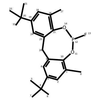 Cc1cc(C(C)(C)C)cc2c1OP(F)Oc1c(C)cc(C(C)(C)C)cc1C2